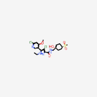 CCn1nc(C(=O)NC[C@]2(O)CC[C@@H](S(C)(=O)=O)CC2)c(Cl)c1-c1cnc(Cl)cc1OC